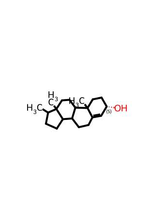 CC1CCC2C3CCC4=C[C@@H](O)CCC4(C)C3CCC12C